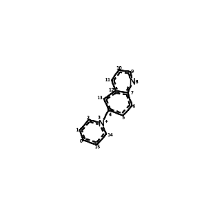 c1cc[n+](-c2ccc3ncccc3c2)cc1